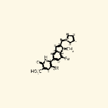 CCc1cc(C(=O)O)c(=O)[nH]c1-c1cc(F)c2c(c1)cc(CN1CCCC1)n2C